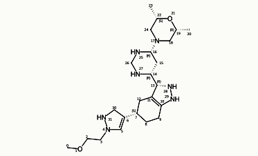 COCCN1C=C([C@H]2CCC3=C(C2)[C@H]([C@H]2C[C@@H](N4C[C@@H](C)O[C@@H](C)C4)NCN2)NN3)CN1